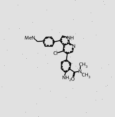 CNCc1ccc(-c2c[nH]c3ncc(-c4ccc(N)c(C(=O)N(C)C)c4)c(Cl)c23)cc1